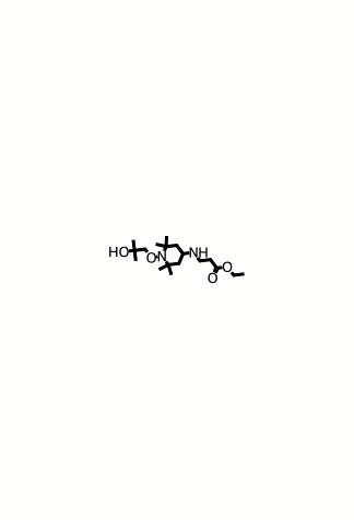 CCOC(=O)CCNC1CC(C)(C)N(OCC(C)(C)O)C(C)(C)C1